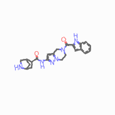 O=C(Nc1cc2n(n1)CCN(C(=O)c1cc3ccccc3[nH]1)C2)C1CC2CC1CN2